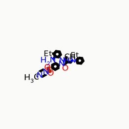 CCc1ccccc1N.CCc1ccccc1NC=C1C(=O)N(c2ccc(S(=O)(=O)N3CCN(C)CC3)cc2)N=C1C